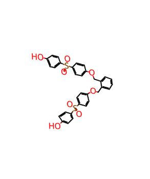 O=S(=O)(c1ccc(O)cc1)c1ccc(OCc2ccccc2COc2ccc(S(=O)(=O)c3ccc(O)cc3)cc2)cc1